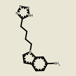 Nc1ccc2ccn(CCCCc3nnn[nH]3)c2c1